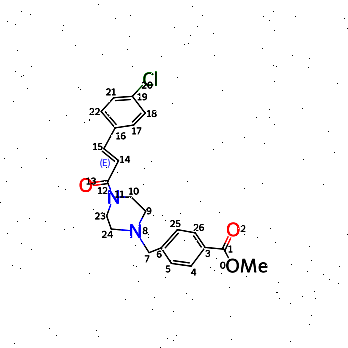 COC(=O)c1ccc(CN2CCN(C(=O)/C=C/c3ccc(Cl)cc3)CC2)cc1